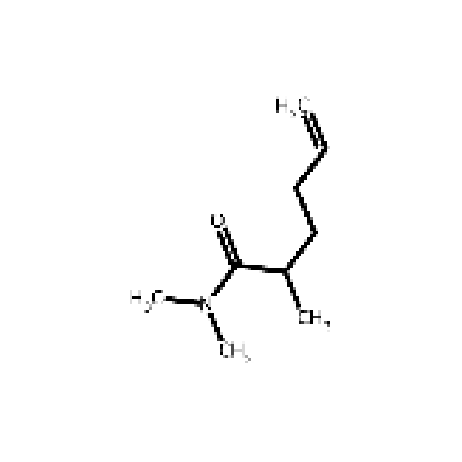 C=CCCC(C)C(=O)N(C)C